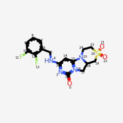 O=c1nc(NCc2cccc(F)c2F)cc2n1CC1CS(=O)(=O)CCN21